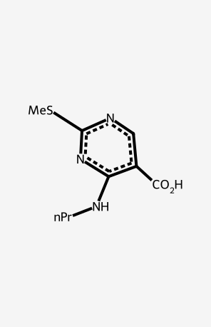 CCCNc1nc(SC)ncc1C(=O)O